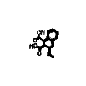 CC=C1C=c2ccccc2=C(C(=O)O)C1C(=O)O